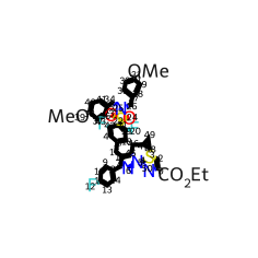 CCOC(=O)c1csc(-n2nc(-c3ccc(F)cc3)c(Cc3cc(F)c(S(=O)(=O)N(Cc4ccc(OC)cc4)Cc4ccc(OC)cc4)c(F)c3)c2CC2CC2)n1